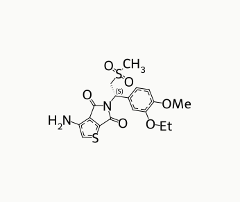 CCOc1cc([C@@H](CS(C)(=O)=O)N2C(=O)c3scc(N)c3C2=O)ccc1OC